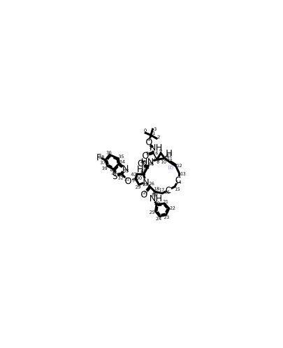 CC(C)(C)ONC(=O)[C@@]12C[C@H]1/C=C\CCCCC[C@H](Nc1ccccc1)C(=O)N1C[C@H](Oc3nc4ccc(F)cc4s3)C[C@H]1C(=O)N2